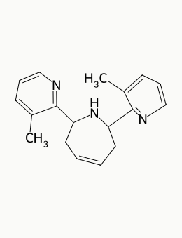 Cc1cccnc1C1CC=CCC(c2ncccc2C)N1